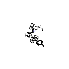 CCO/C(=C\c1cncn1S(=O)(=O)c1ccc(C)cc1)C(F)(F)F